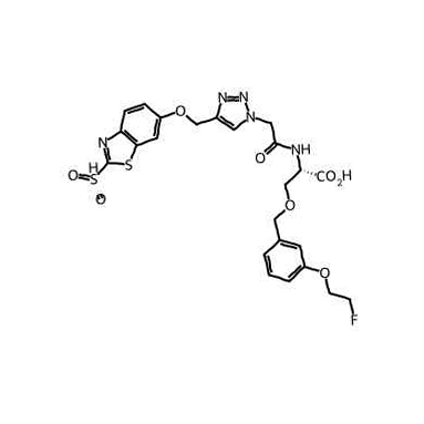 O=C(Cn1cc(COc2ccc3nc([SH](=O)=O)sc3c2)nn1)N[C@@H](COCc1cccc(OCCF)c1)C(=O)O